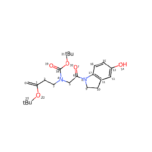 C=C(CCN(CC(=O)N1CCc2cc(O)ccc21)C(=O)OC(C)(C)C)OC(C)(C)C